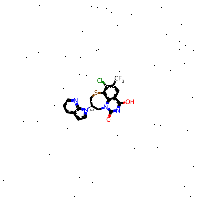 O=c1nc(O)c2cc(C(F)(F)F)c(Cl)c3c2n1C[C@H](n1ccc2cccnc21)CS3